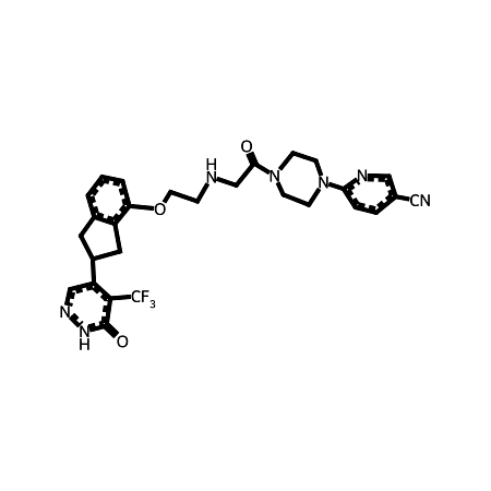 N#Cc1ccc(N2CCN(C(=O)CNCCOc3cccc4c3CC(c3cn[nH]c(=O)c3C(F)(F)F)C4)CC2)nc1